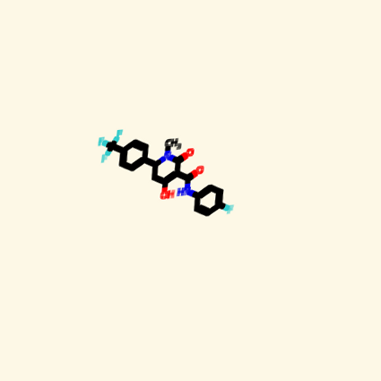 CN1C(=O)C(C(=O)Nc2ccc(F)cc2)=C(O)CC1c1ccc(C(F)(F)F)cc1